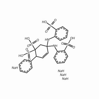 O=S(=O)(O)c1ccccc1NC1(Nc2ccccc2S(=O)(=O)O)C=CC(c2ccccc2)C(S(=O)(=O)O)(S(=O)(=O)O)C1.[NaH].[NaH].[NaH].[NaH]